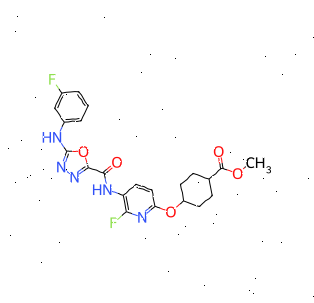 COC(=O)C1CCC(Oc2ccc(NC(=O)c3nnc(Nc4cccc(F)c4)o3)c(F)n2)CC1